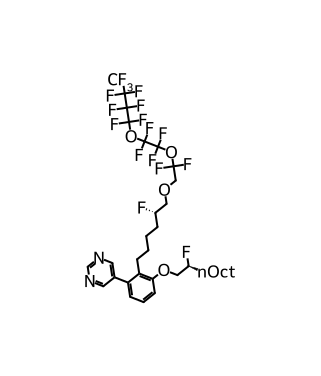 CCCCCCCC[C@H](F)COc1cccc(-c2cncnc2)c1CCCC[C@H](F)COCC(F)(F)OC(F)(F)C(F)(F)OC(F)(F)C(F)(F)C(F)(F)C(F)(F)F